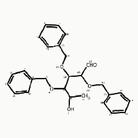 CC(O)C(OCc1ccccc1)C(OCc1ccccc1)C(C=O)OCc1ccccc1